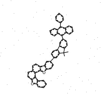 CC1(C)c2ccc(-c3c4ccccc4c(-c4ccccc4)c4ccccc34)cc2-c2ccc(-c3ccc4oc5c(ccc6ccc7oc8ccccc8c7c65)c4c3)cc21